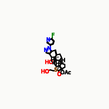 CC(=O)O[C@]1(C(=O)SCCO)CC[C@H]2[C@@H]3CCC4=Cc5c(cnn5-c5ccc(F)nc5)C[C@]4(C)[C@H]3[C@@H](O)C[C@@]21C